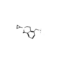 CN(C)Cc1cccc2c1CCN(C1CC1)C2=O